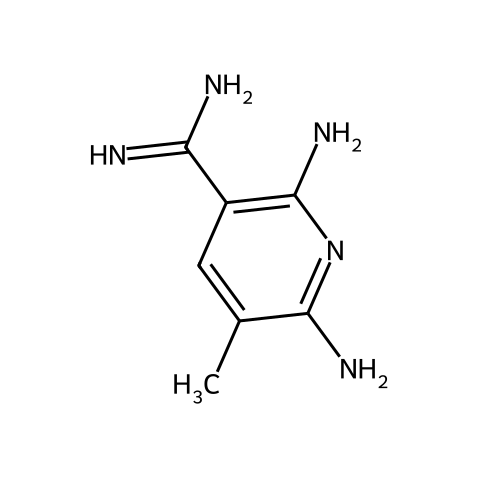 Cc1cc(C(=N)N)c(N)nc1N